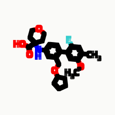 COc1cc(-c2ccc(NC3(C(=O)O)CCOCC3)cc2COC2CCCC2)c(F)cc1C